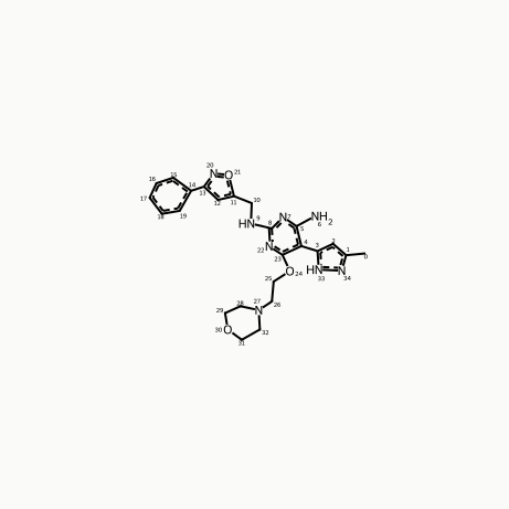 Cc1cc(-c2c(N)nc(NCc3cc(-c4ccccc4)no3)nc2OCCN2CCOCC2)[nH]n1